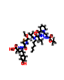 CCCCCCN(C(=O)[C@@H](NC(=O)C1CCCCN1CCNC(=O)OC(C)(C)C)[C@@H](C)CC)[C@H](C[C@@H](OCC)c1nc(C(=O)NC(Cc2ccc(O)cc2)CC(C)(C)C(=O)O)cs1)C(C)C